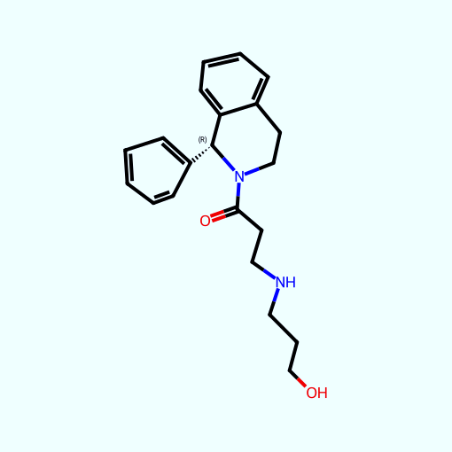 O=C(CCNCCCO)N1CCc2ccccc2[C@H]1c1ccccc1